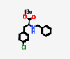 CC(C)(C)OC(=O)C(Cc1ccc(Cl)cc1)NCc1ccccc1